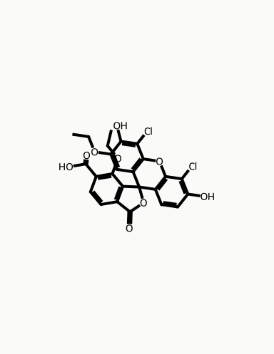 CCOc1cc2c(c(Cl)c1O)Oc1c(ccc(O)c1Cl)C21OC(=O)c2ccc(C(=O)O)c(OCC)c21